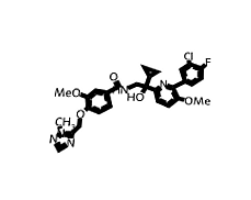 COc1cc(C(=O)NCC(O)(c2ccc(OC)c(-c3ccc(F)c(Cl)c3)n2)C2CC2)ccc1OCc1ncnn1C